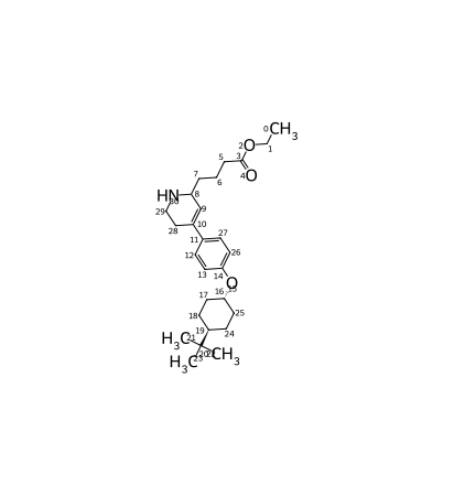 CCOC(=O)CCCC1C=C(c2ccc(O[C@H]3CC[C@H](C(C)(C)C)CC3)cc2)CCN1